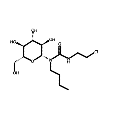 CCCCN(C(=O)NCCCl)[C@@H]1O[C@H](CO)[C@@H](O)[C@H](O)[C@H]1O